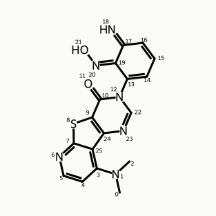 CN(C)c1ccnc2sc3c(=O)n(C4=CC=CC(=N)/C4=N\O)cnc3c12